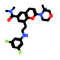 C[C@H]1COCCN1C1=CCc2cc(C(=O)N(C)C)cc(CCNc3cc(F)cc(F)c3)c2O1